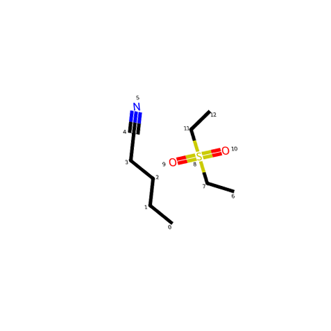 CCCCC#N.CCS(=O)(=O)CC